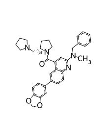 CN(Cc1ccccc1)c1cc(C(=O)N2CCC[C@H]2CN2CCCC2)c2cc(-c3ccc4c(c3)OCO4)ccc2n1